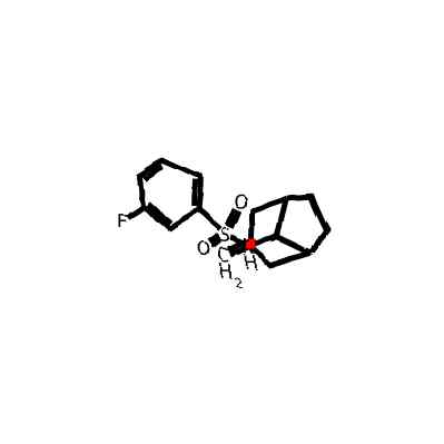 C=C1CC2CCC(C1)C2NS(=O)(=O)c1cccc(F)c1